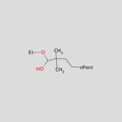 CCCCCCCC(C)(C)C(O)OCC